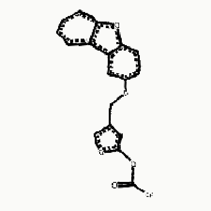 O=C(O)Oc1cc(COc2ccc3oc4ccccc4c3c2)co1